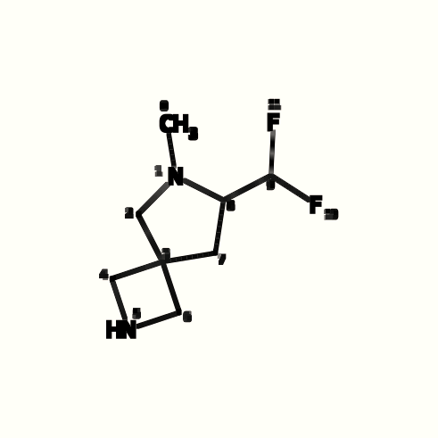 CN1CC2(CNC2)CC1C(F)F